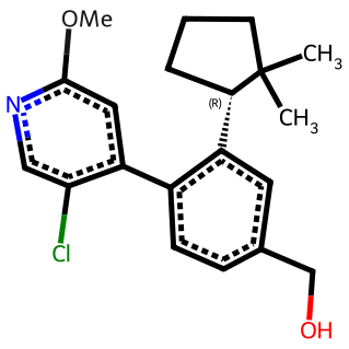 COc1cc(-c2ccc(CO)cc2[C@@H]2CCCC2(C)C)c(Cl)cn1